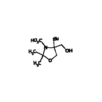 CC1(C)OCC(CO)(C(C)(C)C)N1C(=O)O